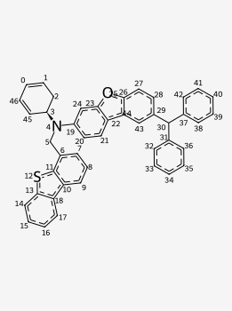 C1=CC[C@@H](N(Cc2cccc3c2sc2ccccc23)c2ccc3c(c2)oc2ccc(C(c4ccccc4)c4ccccc4)cc23)C=C1